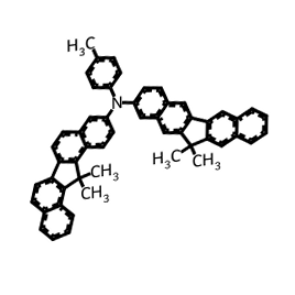 Cc1ccc(N(c2ccc3cc4c(cc3c2)C(C)(C)c2cc3ccccc3cc2-4)c2ccc3c4c(ccc3c2)-c2ccc3ccccc3c2C4(C)C)cc1